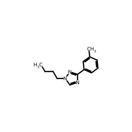 CCCCn1cnc(-c2cccc(C)c2)n1